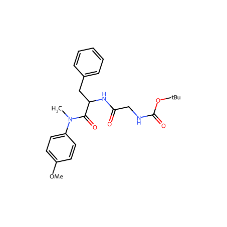 COc1ccc(N(C)C(=O)C(Cc2ccccc2)NC(=O)CNC(=O)OC(C)(C)C)cc1